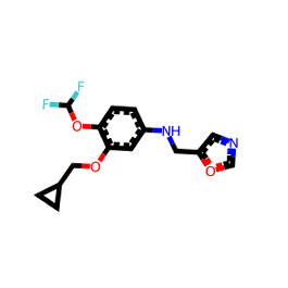 FC(F)Oc1ccc(NCc2cnco2)cc1OCC1CC1